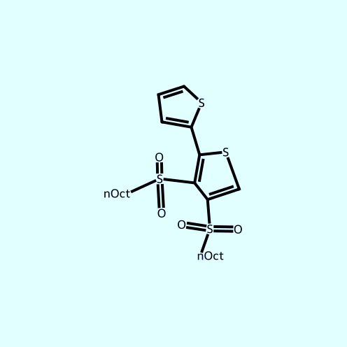 CCCCCCCCS(=O)(=O)c1csc(-c2cccs2)c1S(=O)(=O)CCCCCCCC